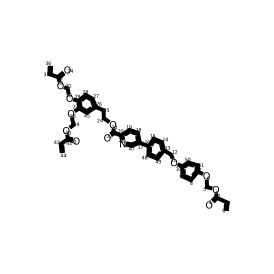 C=CC(=O)OCOc1ccc(OCc2ccc(-c3ccc(C(=O)OCCc4ccc(OCOC(=O)C=C)c(OCOC(=O)C=C)c4)nc3)cc2)cc1